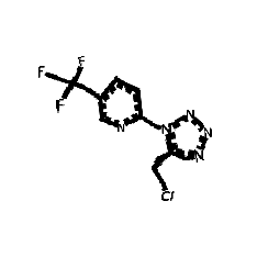 FC(F)(F)c1ccc(-n2nnnc2CCl)nc1